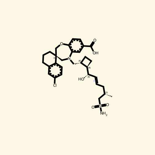 C[C@@H](C/C=C/[C@H](O)[C@@H]1CC[C@H]1CN1C[C@@]2(CCCc3cc(Cl)ccc32)COc2ccc(C(=O)O)cc21)CS(N)(=O)=O